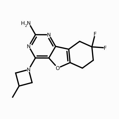 CC1CN(c2nc(N)nc3c4c(oc23)CCC(F)(F)C4)C1